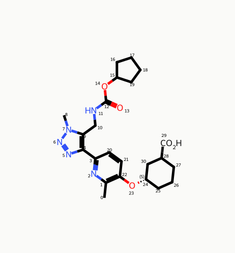 Cc1nc(-c2nnn(C)c2CNC(=O)OC2CCCC2)ccc1O[C@H]1CCCC(C(=O)O)C1